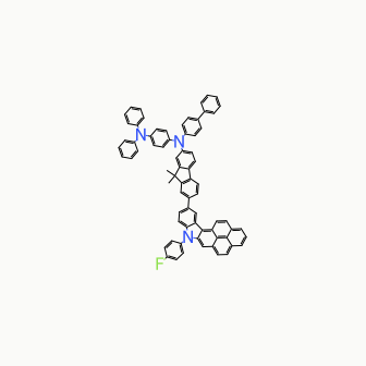 CC1(C)c2cc(-c3ccc4c(c3)c3c5ccc6cccc7ccc(cc3n4-c3ccc(F)cc3)c5c76)ccc2-c2ccc(N(c3ccc(-c4ccccc4)cc3)c3ccc(N(c4ccccc4)c4ccccc4)cc3)cc21